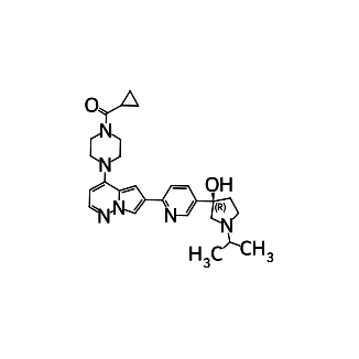 CC(C)N1CC[C@@](O)(c2ccc(-c3cc4c(N5CCN(C(=O)C6CC6)CC5)ccnn4c3)nc2)C1